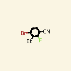 CCc1c(Br)ccc(C#N)c1F